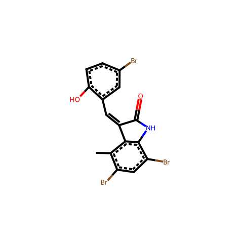 Cc1c(Br)cc(Br)c2c1C(=Cc1cc(Br)ccc1O)C(=O)N2